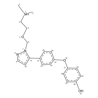 C[SiH](C)CCOCn1nccc1-c1ccc(Oc2ccc(O)cc2)cc1